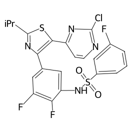 CC(C)c1nc(-c2cc(F)c(F)c(NS(=O)(=O)c3cccc(F)c3)c2)c(-c2ccnc(Cl)n2)s1